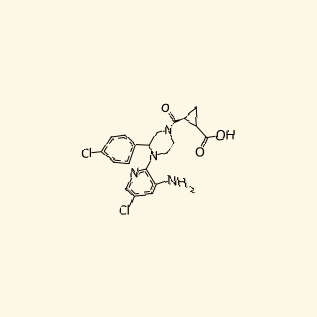 Nc1cc(Cl)cnc1N1CCN(C(=O)[C@H]2CC2C(=O)O)CC1c1ccc(Cl)cc1